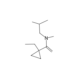 C=C(N(C)CC(C)C)C1(CC)CC1